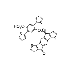 O=C(O)c1cc(-c2cccs2)c(C(=O)O)cc1-c1cccs1.O=c1c2cc3c(cc2c2sccc12)c(=O)c1ccsc13